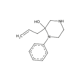 C=CCC1(O)CNCCN1c1ccccc1